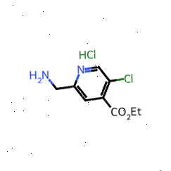 CCOC(=O)c1cc(CN)ncc1Cl.Cl